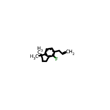 C=CCc1ccc2c(c1F)CCC2(C)C